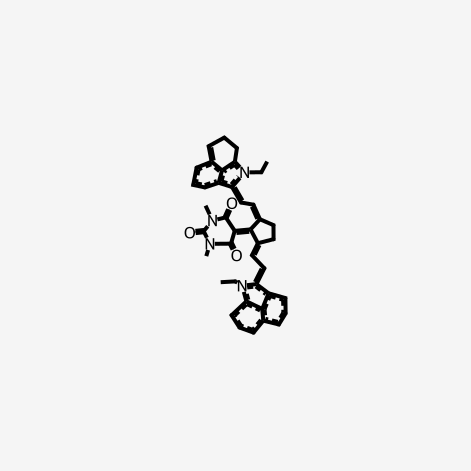 CCn1c2c3c(cccc3/c1=C/C=C1/CC/C(=C\C=c3\c4cccc5cccc(c54)n3CC)C1=C1C(=O)N(C)C(=O)N(C)C1=O)=CCC2